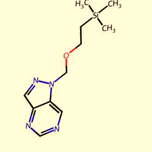 C[Si](C)(C)CCOCn1ncc2ncncc21